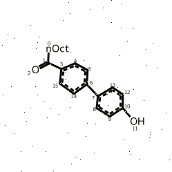 CCCCCCCCC(=O)c1ccc(-c2ccc(O)cc2)cc1